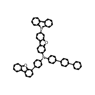 c1ccc(-c2ccc(-c3ccc(N(c4ccc(-c5cccc6c5oc5ccccc56)cc4)c4ccc5c(c4)oc4cc(-n6c7ccccc7c7ccccc76)ccc45)cc3)cc2)cc1